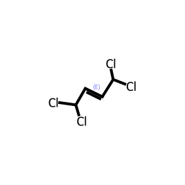 ClC(Cl)/C=C/C(Cl)Cl